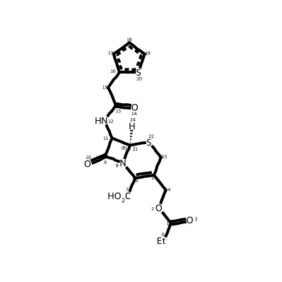 CCC(=O)OCC1=C(C(=O)O)N2C(=O)C(NC(=O)Cc3cccs3)[C@H]2SC1